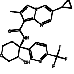 Cc1cn2cc(C3CC3)cnc2c1C(=O)N[C@]1(c2ccc(C(F)(F)F)nc2)CCOC[C@H]1O